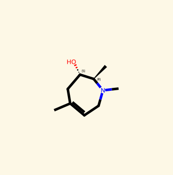 CC1=CCN(C)[C@H](C)[C@@H](O)C1